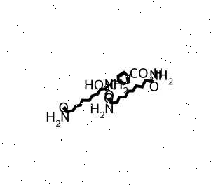 NC(=O)CCCCCCCCC(N)=O.NC(=O)CCCCCCCCC(N)=O.O=C(O)c1ccc(C(=O)O)cc1